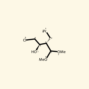 COC(OC)[C@@H](CC(C)C)[C@@H](O)CCl